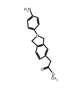 COC(=O)Cc1ccc2c(c1)CN(c1ccc(N)cc1)C2